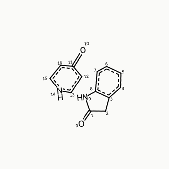 O=C1Cc2ccccc2N1.O=c1cc[nH]cc1